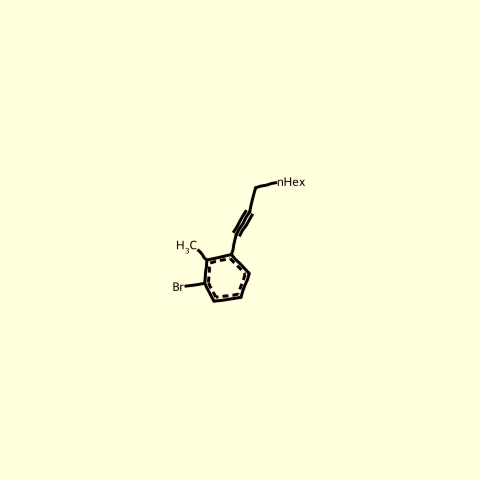 CCCCCCCC#Cc1cccc(Br)c1C